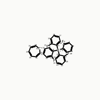 Fc1ccccc1[B-](c1ccccc1F)(c1ccccc1F)c1ccccc1F.c1ccc[cH+]cc1